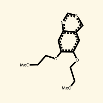 COCCOc1cc2cncnc2cc1OCCOC